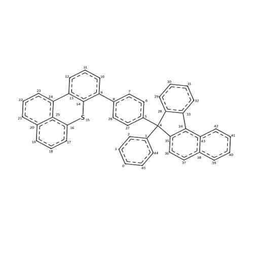 c1ccc(C2(c3ccc(-c4cccc5c4Sc4cccc6cccc-5c46)cc3)c3ccccc3-c3c2ccc2ccccc32)cc1